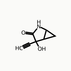 C#CC1(O)C(=O)NC2CC21